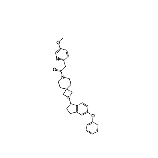 COc1ccc(CC(=O)N2CCC3(CC2)CN(C2CCc4cc(Oc5ccccc5)ccc42)C3)nc1